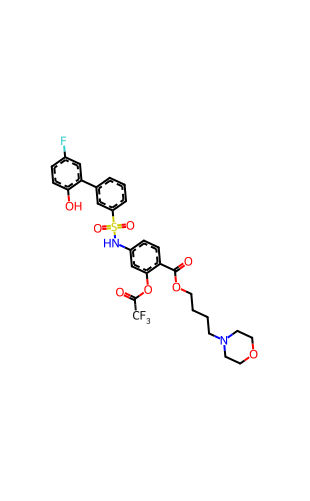 O=C(OCCCCN1CCOCC1)c1ccc(NS(=O)(=O)c2cccc(-c3cc(F)ccc3O)c2)cc1OC(=O)C(F)(F)F